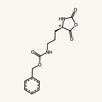 O=C(NCCC[C@H]1NC(=O)OC1=O)OCc1ccccc1